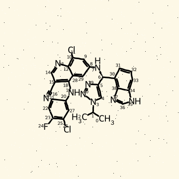 CC(C)n1cc([C@@H](Nc2cc(Cl)c3ncc(C#N)c(Nc4ccc(F)c(Cl)c4)c3c2)c2cccc3[nH]cnc23)nn1